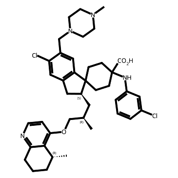 C[C@@H](COc1ccnc2c1[C@H](C)CCC2)C[C@H]1Cc2cc(Cl)c(CN3CCN(C)CC3)cc2C12CCC(Nc1cccc(Cl)c1)(C(=O)O)CC2